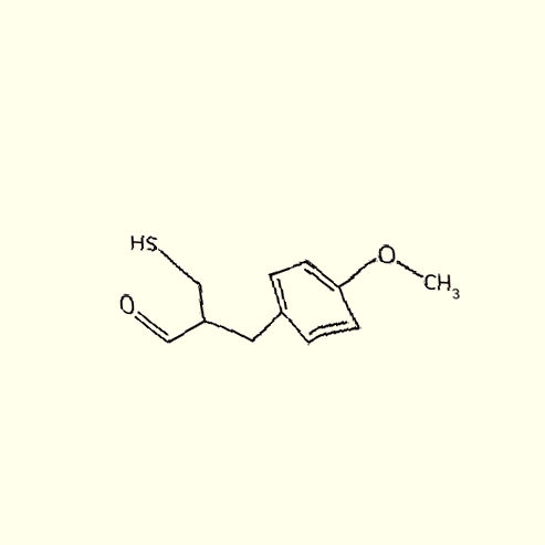 COc1ccc(CC(C=O)CS)cc1